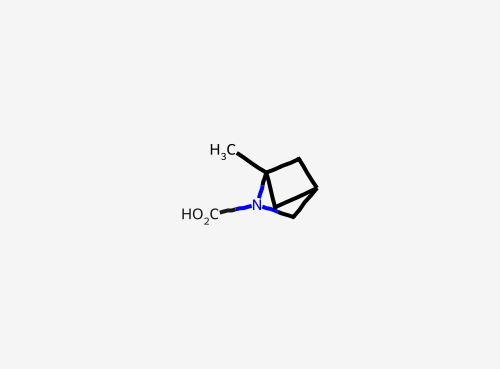 CC12CC(CN1C(=O)O)C2